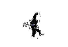 NCCN1CCN(c2nc(Nc3ccc(C(=O)NCCO)cc3)nc(Nc3ccc(/C=C/c4ccc(Nc5nc(Nc6ccc(C(=O)NCCO)cc6)nc(N6CCN(CCN)CC6)n5)cc4S(=O)(=O)O)c(S(=O)(=O)O)c3)n2)CC1